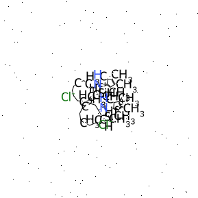 CC1=C(C)C(C)[C]([Hf+]([NH]C2CCCCCCCCCCC2)[SiH](C)C)=C1C.CC1=C(C)C(C)[C]([Hf+]([NH]C2CCCCCCCCCCC2)[SiH](C)C)=C1C.[Cl-].[Cl-]